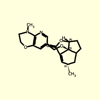 C[C@@H]1C=C2C(=O)O[C@@H]3CCC(C1)[C@]23OCc1cnc2c(c1)OCCN2C